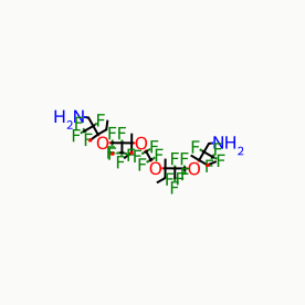 CCC(C)(OC(F)(F)C(F)(C(F)(F)F)C(C)(CC)OC(F)(F)C(F)(F)OC(C)(CC)C(F)(C(F)(F)F)C(F)(F)OC(C)(CC)C(F)(CN)C(F)(F)F)C(F)(CN)C(F)(F)F